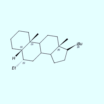 CC[C@H]1CC2C3CCC([C@H](C)CC)[C@@]3(C)CCC2[C@@]2(C)CCCC[C@@H]12